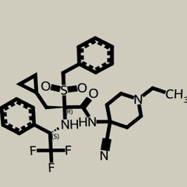 CCN1CCC(C#N)(NC(=O)[C@](CC2CC2)(N[C@@H](c2ccccc2)C(F)(F)F)S(=O)(=O)Cc2ccccc2)CC1